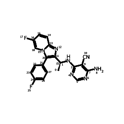 C[C@H](Nc1ncnc(N)c1C#N)c1nc2ccc(F)cn2c1-c1ccc(F)cc1